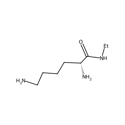 CCNC(=O)[C@H](N)CCCCN